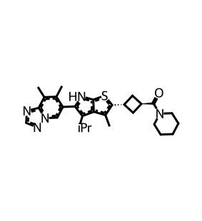 Cc1c(-c2[nH]c3sc([C@H]4C[C@H](C(=O)N5CCCCC5)C4)c(C)c3c2C(C)C)cn2ncnc2c1C